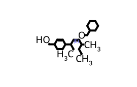 CCCC(C)/C(=C\C(CC)C1C=CC(CO)CC1)OCC1CCCCC1